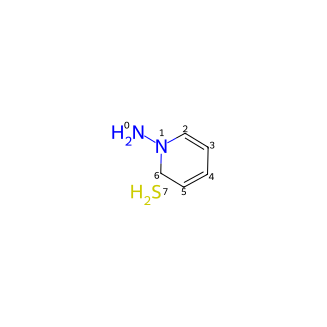 NN1C=CC=CC1.S